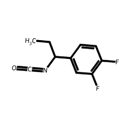 CCC(N=C=O)c1ccc(F)c(F)c1